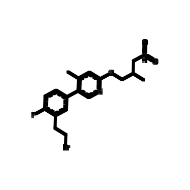 Cc1cc(OCC(C)C[SH](=O)=O)ncc1-c1ccc(F)c(CCBr)c1